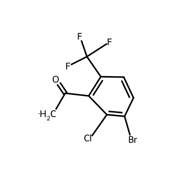 [CH2]C(=O)c1c(C(F)(F)F)ccc(Br)c1Cl